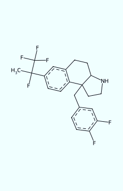 CC(F)(c1ccc2c(c1)CCC1NCCC21Cc1ccc(F)c(F)c1)C(F)(F)F